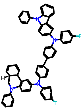 Fc1ccc(N(c2ccc(-c3ccc(N(c4ccc(F)cc4)c4ccc5c(c4)c4ccccc4n5-c4ccccc4)cc3)cc2)c2ccc3c(c2)C2C=CC=C[C@H]2CN3c2ccccc2)cc1